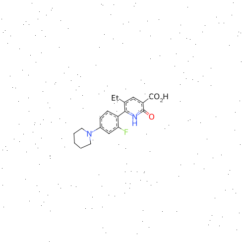 CCc1cc(C(=O)O)c(=O)[nH]c1-c1ccc(N2CCCCC2)cc1F